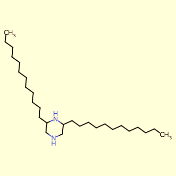 CCCCCCCCCCCCC1CNCC(CCCCCCCCCCCC)N1